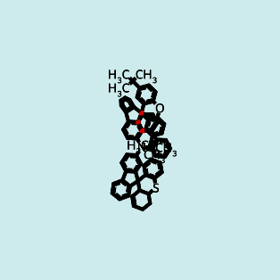 CC(C)(C)c1ccc2c(c1)C1(c3cc(C(C)(C)C)ccc3O2)c2ccccc2-c2ccc(N(c3ccc4c(c3)C3(c5ccccc5SC5CCC=CC53)c3ccccc3-4)c3ccccc3C3=CC=CCC3)cc21